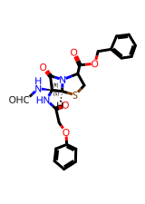 O=CN[C@@]1(NC(=O)COc2ccccc2)C(=O)N2C(C(=O)OCc3ccccc3)CS[C@H]21